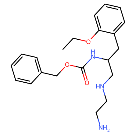 CCOc1ccccc1CC(CNCCN)NC(=O)OCc1ccccc1